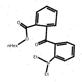 CCCCCCOC(=O)c1ccccc1C(=O)c1ccccc1N(CC)CC